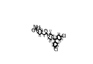 C[C@@H]1CN(C(=O)CC2CCN(C(N)=O)CC2)[C@@H](C)CN1C(c1ccc(Cl)cc1)c1ccc(Cl)cc1